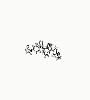 O=C1OCCN1c1ccc(Nc2nccn3c(-c4ccc(OC(F)F)cc4)cnc23)cc1